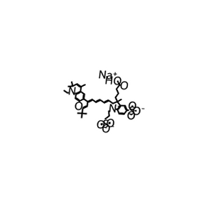 CCN1c2cc3c(cc2C(C)=CC1(C)C)C(=CC=CC=CC1=[N+](CCCS(=O)(=O)[O-])c2ccc(S(=O)(=O)[O-])cc2C1(C)CCCC(=O)O)C=C(C(C)(C)C)O3.[Na+]